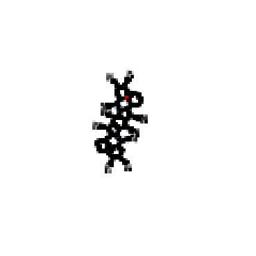 N#CC1=C(c2ccccc2)/C(=C(/C#N)c2ccc(C#N)c(C#N)c2)c2c(C#N)c3c(c(C#N)c21)/C(=C(\C#N)c1ccc(C#N)c(C#N)c1)C(c1ccccc1)=C3C#N